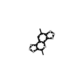 Cc1nc2c(cc(C)c3nsnc32)c2nsnc12